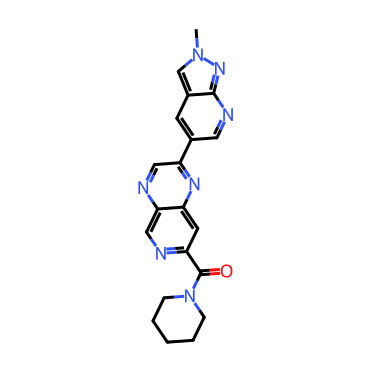 Cn1cc2cc(-c3cnc4cnc(C(=O)N5CCCCC5)cc4n3)cnc2n1